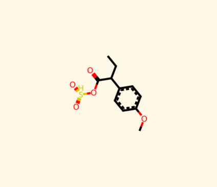 CCC(C(=O)O[SH](=O)=O)c1ccc(OC)cc1